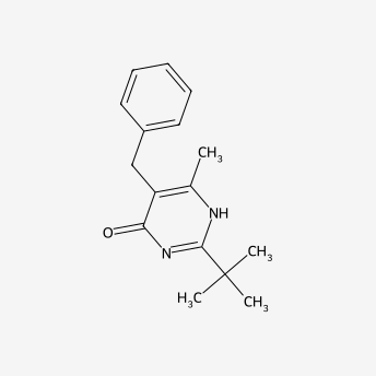 Cc1[nH]c(C(C)(C)C)nc(=O)c1Cc1ccccc1